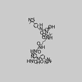 CNC(=O)c1nnc(NC(=O)CNC(=O)CCCC(=O)N[C@H](C(=O)N2C[C@H](O)C[C@H]2C(=O)NCc2ccc(-c3scnc3C)cc2)C(C)(C)C)cc1Nc1cccc(-c2ncn(C)n2)c1OC